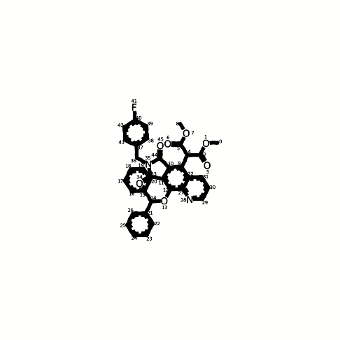 COC(=O)C(C(=O)OC)c1c2c(c(OC(c3ccccc3)c3ccccc3)c3ncccc13)C(=O)N(Cc1ccc(F)cc1)C2=O